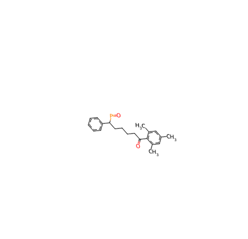 Cc1cc(C)c(C(=O)CCCCC(P=O)c2ccccc2)c(C)c1